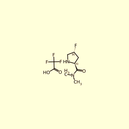 CN(C)C(=O)[C@@H]1C[C@@H](F)CN1.O=C(O)C(F)(F)F